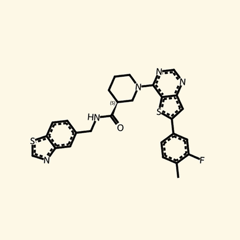 Cc1ccc(-c2cc3ncnc(N4CCC[C@H](C(=O)NCc5ccc6scnc6c5)C4)c3s2)cc1F